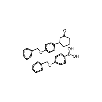 O=C1CCCC(c2ccc(OCc3ccccc3)cc2)C1.OB(O)c1ccc(OCc2ccccc2)cc1